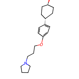 O[C@H]1CC[C@H](c2ccc(OCCCN3CCCC3)cc2)CC1